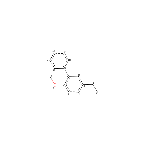 CCc1ccc(OC)c(-c2[c]cccc2)c1